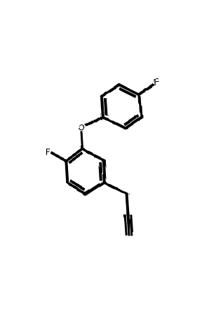 C#C[CH]c1ccc(F)c(Oc2ccc(F)cc2)c1